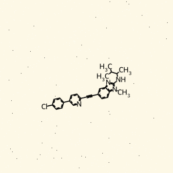 CC(C)C(C)Nc1nc2cc(C#Cc3ccc(-c4ccc(Cl)cc4)cn3)ccc2n1C